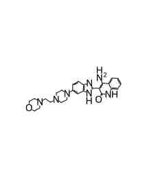 Nc1c(-c2nc3ccc(N4CCN(CCN5CCOCC5)CC4)cc3[nH]2)c(=O)[nH]c2ccccc12